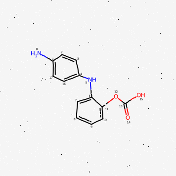 Nc1ccc(Nc2ccccc2OC(=O)O)cc1